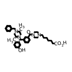 C[C@@H]1CN([C@@H](c2cccc(O)c2)c2cccc(C(=O)N3CCN(CCCCCCC(=O)O)CC3)c2)[C@@H](C)CN1Cc1ccccc1